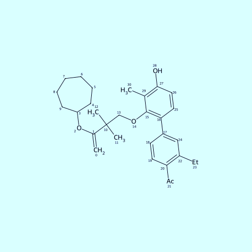 C=C(OC1CCCCCC1)C(C)(C)COc1c(-c2ccc(C(C)=O)c(CC)c2)ccc(O)c1C